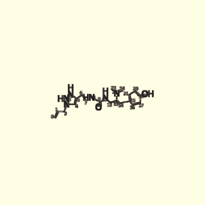 C=CCN1C=C(CCNC(=O)NC[C@H](Cc2ccc(O)cc2)N(C)C)NN1